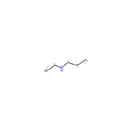 [CH2]CCCCNCC(C)C